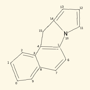 c1ccc2c3c(ccc2c1)-n1cccc1C3